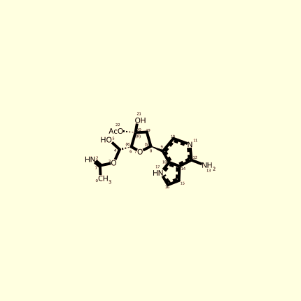 CC(=N)OC(O)[C@H]1O[C@H](c2cnc(N)c3cc[nH]c23)C[C@@]1(O)OC(C)=O